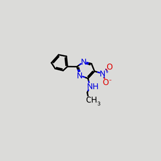 CCNc1nc(-c2ccccc2)ncc1[N+](=O)[O-]